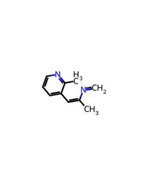 C=N/C(C)=C\c1cccnc1C